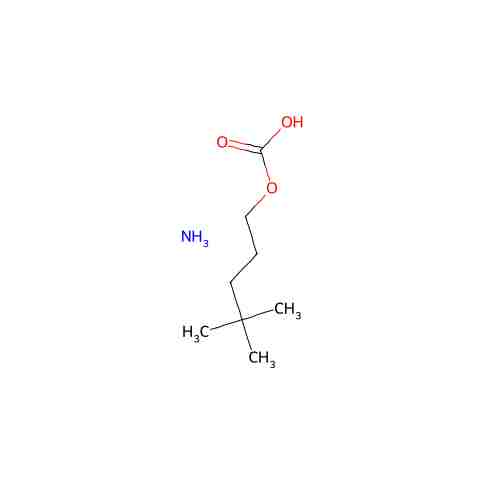 CC(C)(C)CCCOC(=O)O.N